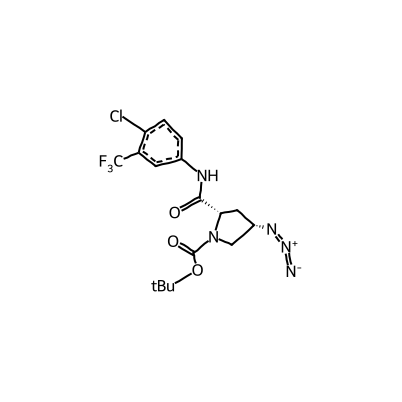 CC(C)(C)OC(=O)N1C[C@@H](N=[N+]=[N-])C[C@H]1C(=O)Nc1ccc(Cl)c(C(F)(F)F)c1